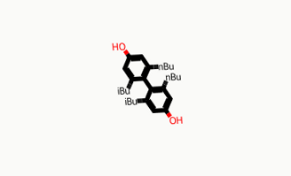 CCCCc1cc(O)cc(C(C)CC)c1-c1c(CCCC)cc(O)cc1C(C)CC